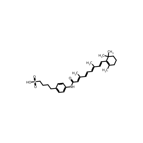 CC1=C(/C=C/C(C)=C/C=C/C(C)=C/C(=O)Nc2ccc(CCCCS(=O)(=O)O)cc2)C(C)(C)CCC1